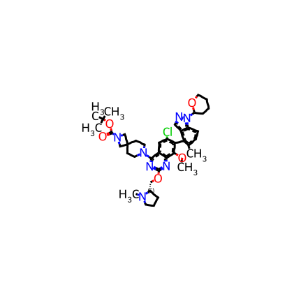 COc1c(-c2c(C)ccc3c2cnn3C2CCCCO2)c(Cl)cc2c(N3CCC4(CC3)CN(C(=O)OC(C)(C)C)C4)nc(OC[C@@H]3CCCN3C)nc12